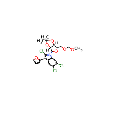 COCOC[C@H]1O[C@@H](n2c(Cl)c(-c3ccco3)c3cc(Cl)c(Cl)cc32)[C@@H]2OC(C)(C)O[C@@H]21